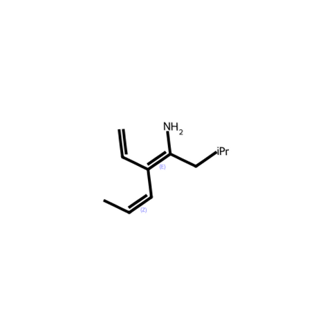 C=CC(/C=C\C)=C(\N)CC(C)C